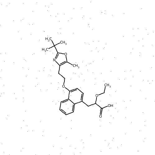 CCOC(Cc1ccc(OCCc2nc(C(C)(C)C)oc2C)c2ccccc12)C(=O)O